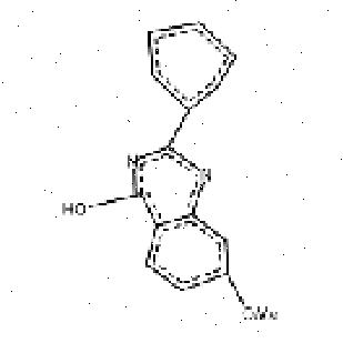 COc1ccc2c(O)nc(-c3ccccc3)nc2c1